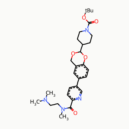 CN(C)CCN(C)C(=O)c1ccc(-c2ccc3c(c2)COC(C2CCN(C(=O)OC(C)(C)C)CC2)O3)cn1